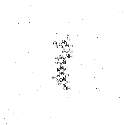 CCn1cc(C=O)c2cc(Nc3nccc(-n4cc(CN5CC(O)CO5)c(C5CC5)n4)n3)ccc21